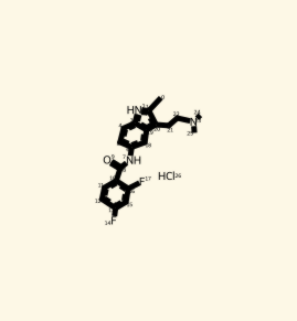 Cc1[nH]c2ccc(NC(=O)c3ccc(F)cc3F)cc2c1CCN(C)C.Cl